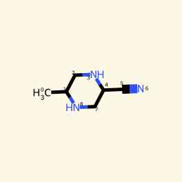 CC1CNC(C#N)CN1